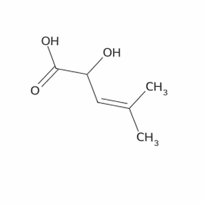 CC(C)=CC(O)C(=O)O